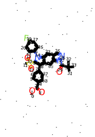 COC(=O)c1ccc(-c2c(S(C)(=O)=O)n(-c3ccc(F)cc3)c3cc4cnn(C(=O)C(C)(C)C)c4cc23)cc1